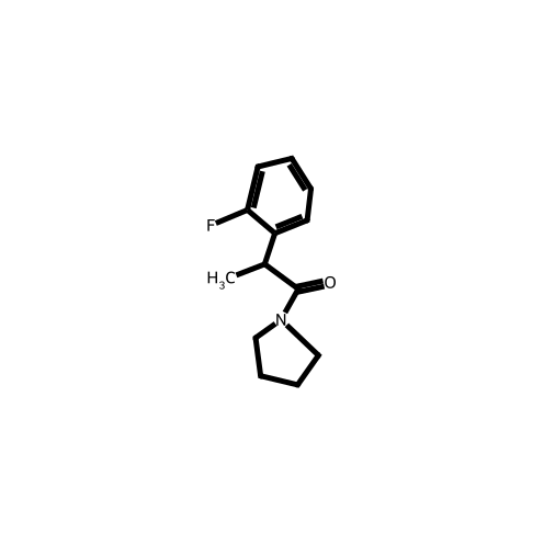 CC(C(=O)N1CCCC1)c1ccccc1F